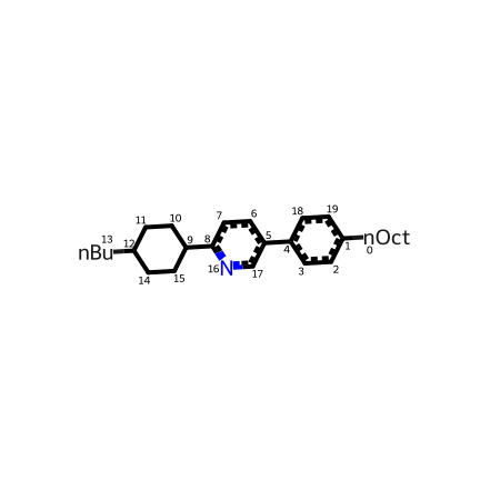 CCCCCCCCc1ccc(-c2ccc(C3CCC(CCCC)CC3)nc2)cc1